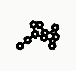 c1ccc(-c2ccc(-c3cc(-c4ccccc4)nc(-c4ccc(-n5c6ccccc6c6ccc7c8ccccc8n(-c8cccc(-c9ccccc9)c8)c7c65)cc4)n3)cc2)cc1